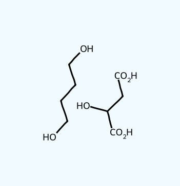 O=C(O)CC(O)C(=O)O.OCCCCO